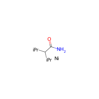 CC(C)C(C(N)=O)C(C)C.[Ni]